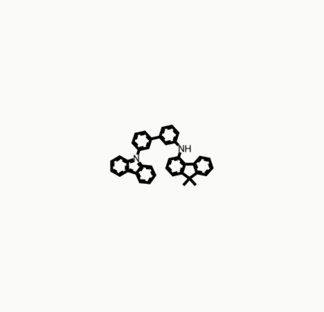 CC1(C)c2ccccc2-c2c(Nc3cccc(-c4cccc(-n5c6ccccc6c6ccccc65)c4)c3)cccc21